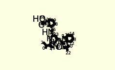 CC(C)c1cnc2c(N(Cc3ccccc3)C(=O)OC(C)(C)C)cc(NC[C@H]3CCCN(C(=O)O)C3)nn12